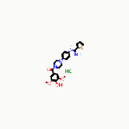 COc1cc(C(=O)N2CCN(c3ccc(NC(=N)c4cccs4)cc3)CC2)cc(OC)c1O.Cl